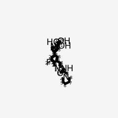 O=C(CN1CCCCC1)Nc1cc2cc(-c3cnn(C(O)(O)O)c3)cc(F)c2cn1